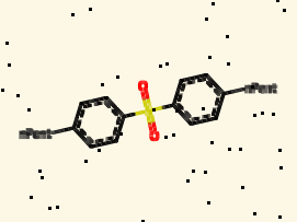 CCCCCc1ccc(S(=O)(=O)c2ccc(CCCCC)cc2)cc1